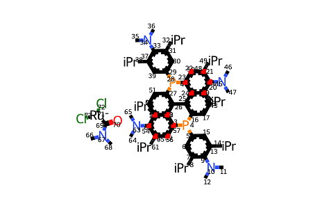 CC(C)c1cc(P(c2cc(C(C)C)c(N(C)C)c(C(C)C)c2)c2ccc3ccccc3c2-c2c(P(c3cc(C(C)C)c(N(C)C)c(C(C)C)c3)c3cc(C(C)C)c(N(C)C)c(C(C)C)c3)ccc3ccccc23)cc(C(C)C)c1N(C)C.CN(C)[C](=O)[Ru-]([Cl])[Cl]